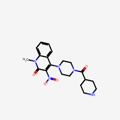 Cn1c(=O)c([N+](=O)[O-])c(N2CCN(C(=O)C3CCNCC3)CC2)c2ccccc21